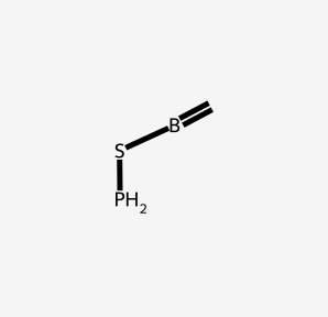 C=BSP